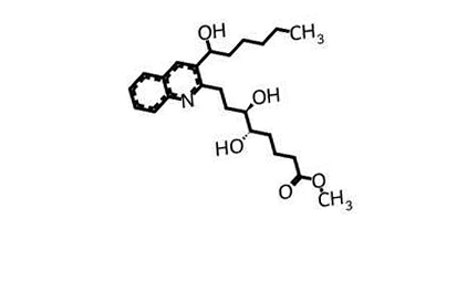 CCCCCC(O)c1cc2ccccc2nc1CC[C@@H](O)[C@@H](O)CCCC(=O)OC